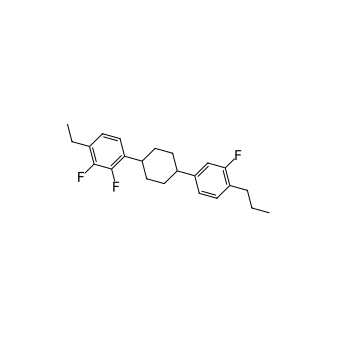 CCCc1ccc(C2CCC(c3ccc(CC)c(F)c3F)CC2)cc1F